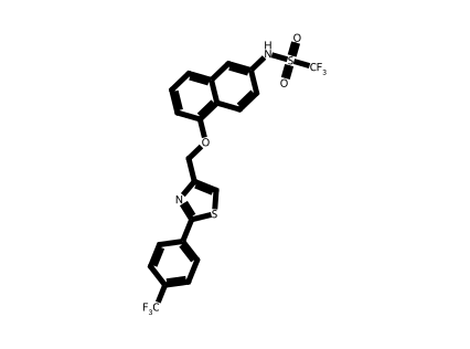 O=S(=O)(Nc1ccc2c(OCc3csc(-c4ccc(C(F)(F)F)cc4)n3)cccc2c1)C(F)(F)F